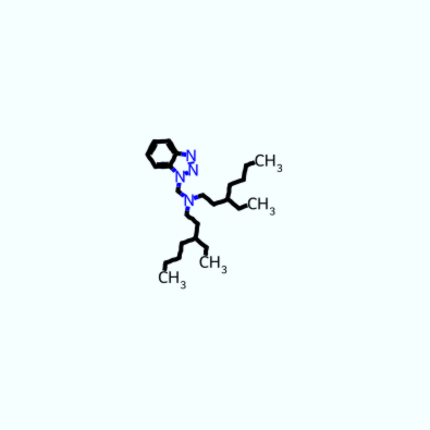 CCCCC(CC)CCN(CCC(CC)CCCC)Cn1nnc2ccccc21